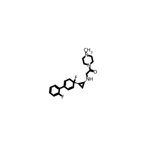 CN1CCN(C(=O)CN[C@@H]2C[C@H]2C2(F)C=CC(c3ccccc3F)=CC2)CC1